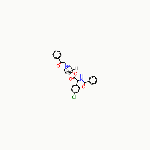 O=C(C[N+]12CCC(CC1)[C@@H](OC(=O)C(NC(=O)c1ccccc1)c1ccc(Cl)cc1)C2)c1ccccc1